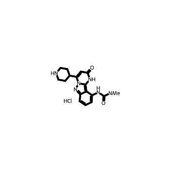 CNC(=O)Nc1cccc2nn3c(C4CCNCC4)cc(=O)[nH]c3c12.Cl